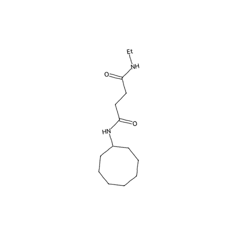 CCNC(=O)CCC(=O)NC1CCCCCCC1